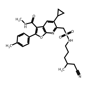 CNC(=O)c1c(-c2ccc(C)cc2)oc2nc(CS(=O)(=O)NCCCC(C)CC#N)c(C3CC3)cc12